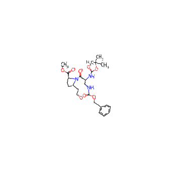 COC(=O)[C@@H]1CCC(CC=O)N1C(=O)[C@H](CNC(=O)OCc1ccccc1)NC(=O)OC(C)(C)C